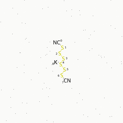 N#CSSSSSSC#N.[K]